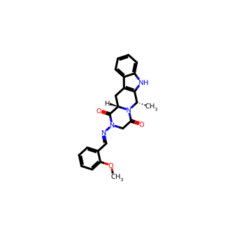 COc1ccccc1/C=N/N1CC(=O)N2[C@@H](Cc3c([nH]c4ccccc34)[C@@H]2C)C1=O